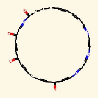 O=C1C=CCC=CC(=O)C=CC(=O)C=NC(=O)CCCC=CC=CC=NC=CN=CC=NC=C1